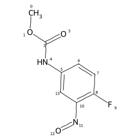 COC(=O)Nc1ccc(F)c(N=O)c1